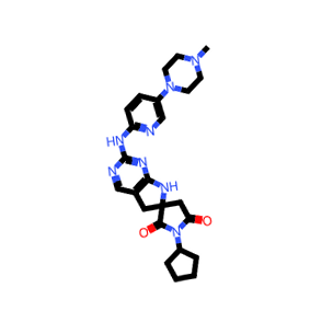 CN1CCN(c2ccc(Nc3ncc4c(n3)NC3(CC(=O)N(C5CCCC5)C3=O)C4)nc2)CC1